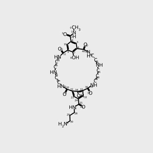 CNC(=O)c1cc2c(O)c(c1)C(=O)NCCNCCNC(=O)c1cc(C(=O)NCCCN)cc(c1O)C(=O)NCCCNCCNC2=O